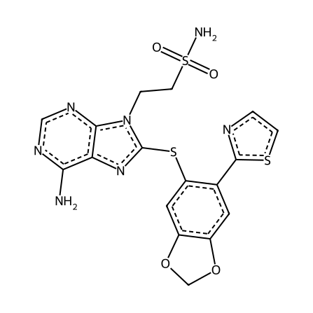 Nc1ncnc2c1nc(Sc1cc3c(cc1-c1nccs1)OCO3)n2CCS(N)(=O)=O